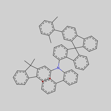 Cc1cccc(C)c1-c1ccc2c(c1)C1(c3ccccc3-2)c2ccccc2-c2c(N(c3ccc4c(c3)C(C)(C)c3ccccc3-4)c3ccccc3-c3ccccc3)cccc21